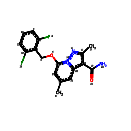 Cc1cc(OCc2c(F)cccc2F)n2nc(C)c(C(N)=O)c2c1